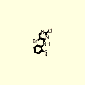 CSc1ccccc1Nc1nc(Cl)ncc1Br